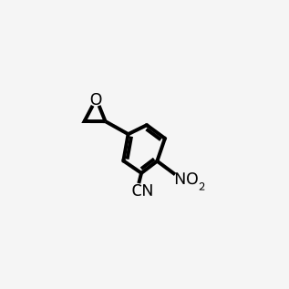 N#Cc1cc(C2CO2)ccc1[N+](=O)[O-]